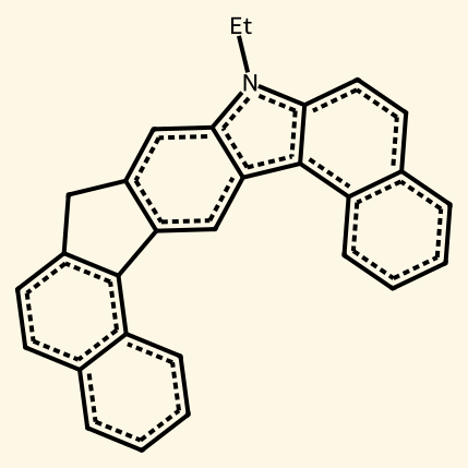 CCn1c2cc3c(cc2c2c4ccccc4ccc21)-c1c(ccc2ccccc12)C3